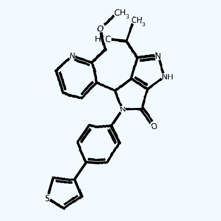 COCc1ncccc1C1c2c(C(C)C)n[nH]c2C(=O)N1c1ccc(-c2ccsc2)cc1